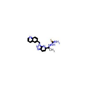 CC(=NNC(N)=S)c1ccc2nnn(Cc3ccc4ncccc4c3)c2n1